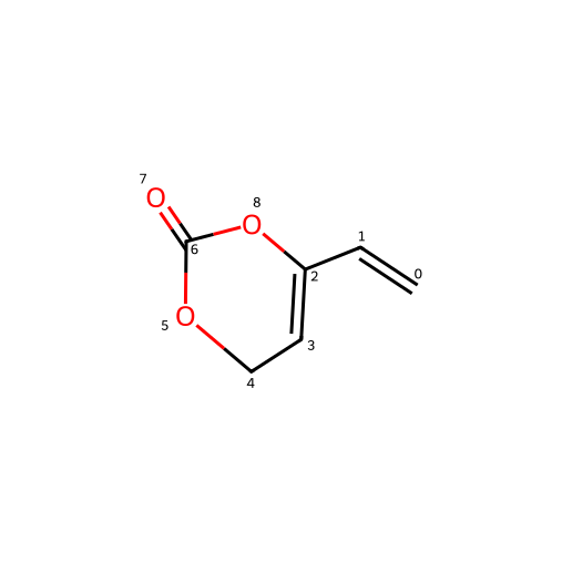 C=CC1=CCOC(=O)O1